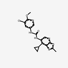 COc1ncc(NC(=O)Nc2cnc3sc(C)nc3c2C2CC2)cc1Cl